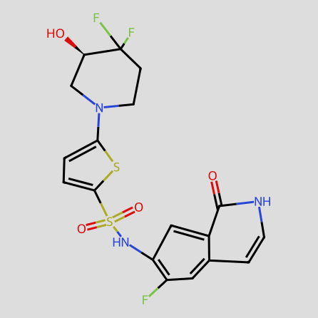 O=c1[nH]ccc2cc(F)c(NS(=O)(=O)c3ccc(N4CCC(F)(F)[C@H](O)C4)s3)cc12